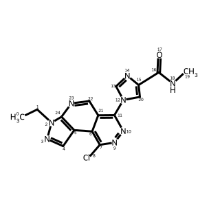 CCn1ncc2c3c(Cl)nnc(-n4cnc(C(=O)NC)c4)c3cnc21